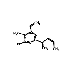 C=Cc1nc([C@H](C)/C=C\C)nc(Cl)c1C